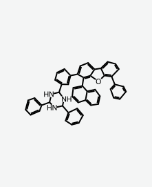 c1ccc(-c2cccc3c2oc2c(-c4cccc5ccccc45)c(-c4cccc(C5NC(c6ccccc6)NC(c6ccccc6)N5)c4)ccc23)cc1